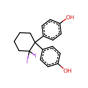 Oc1ccc(C2(c3ccc(O)cc3)CCCCC2(I)I)cc1